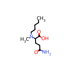 CCCCCN(C)C(CCC(N)=O)C(=O)O